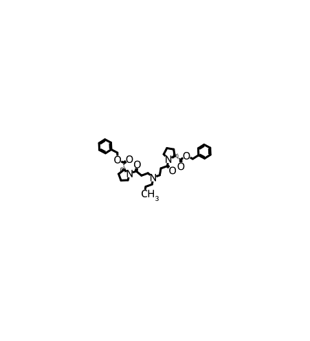 CCCN(CCC(=O)N1CCC[C@@H]1C(=O)OCc1ccccc1)CCC(=O)N1CCC[C@@H]1C(=O)OCc1ccccc1